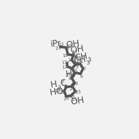 C=C1/C(=C\C=C2/CCC[C@@]3(C)[C@H]2CC[C@@H]3[C@](C)(O)CC(O)CC(C)C)C[C@H](O)C[C@H]1O